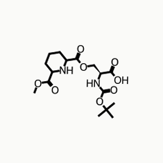 COC(=O)C1CCCC(C(=O)OC[C@H](NC(=O)OC(C)(C)C)C(=O)O)N1